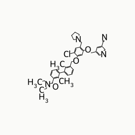 CCN(CC)C(=O)c1cccc(-c2cccc(COc3cc(OCc4cncc(C#N)c4)c(CN4CCCC4)cc3Cl)c2C)c1C